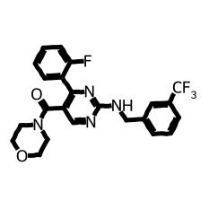 O=C(c1cnc(NCc2cccc(C(F)(F)F)c2)nc1-c1ccccc1F)N1CCOCC1